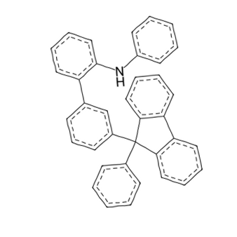 c1ccc(Nc2ccccc2-c2cccc(C3(c4ccccc4)c4ccccc4-c4ccccc43)c2)cc1